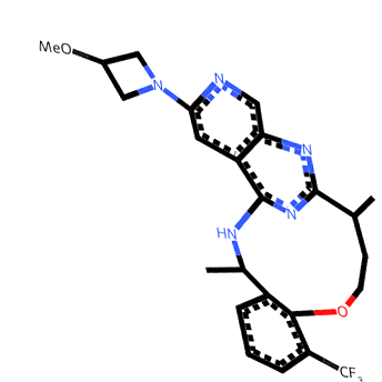 COC1CN(c2cc3c4nc(nc3cn2)C(C)CCOc2c(cccc2C(F)(F)F)C(C)N4)C1